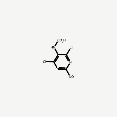 O=Nc1nc(Cl)c(NC(=O)O)c(Cl)n1